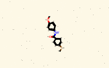 COc1ccc(NC(=O)c2ccc(SC)cc2)cc1